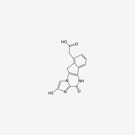 O=C(O)Cc1cccc2c1Cc1c-2[nH]c(=O)c2nc(S)cn12